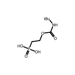 CC(C)(C)NC(=O)OCCP(=O)(O)O